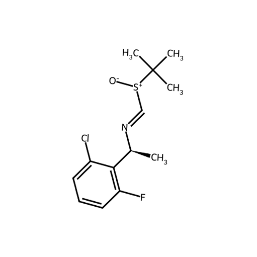 C[C@H](/N=C/[S+]([O-])C(C)(C)C)c1c(F)cccc1Cl